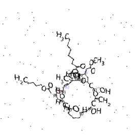 C=CCCCOC(=O)C[C@H]1C[C@H]2C[C@H]3CCC[C@@H](C[C@@H](O)CC(=C)O[C@@H](CO)CC4C/C(=C\C(=O)OC)[C@H](OC(=O)CCCCCCC)[C@@](O)(O4)C(C)(C)/C=C/[C@H](O2)O1)O3